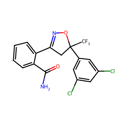 NC(=O)c1c[c]ccc1C1=NOC(c2cc(Cl)cc(Cl)c2)(C(F)(F)F)C1